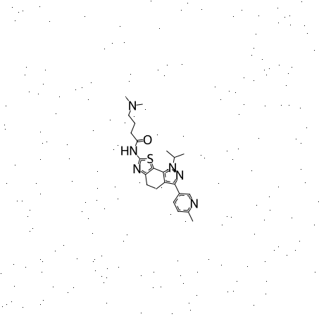 Cc1ccc(-c2nn(C(C)C)c3c2CCc2nc(NC(=O)CCCN(C)C)sc2-3)cn1